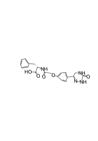 O=C(COc1ccc(C2=NNC(=O)NC2)cc1)N[C@@H](Cc1ccccc1)C(=O)O